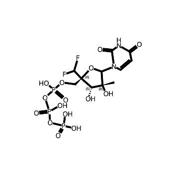 C[C@]1(O)C(n2ccc(=O)[nH]c2=O)O[C@@](COP(=O)(O)OP(=O)(O)OP(=O)(O)O)(C(F)F)[C@H]1O